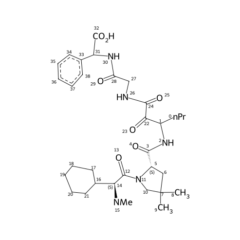 CCCC(NC(=O)[C@@H]1CC(C)(C)CN1C(=O)[C@@H](NC)C1CCCCC1)C(=O)C(=O)NCC(=O)NC(C(=O)O)c1ccccc1